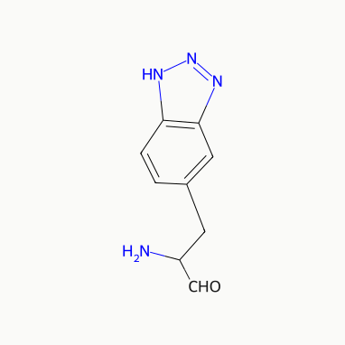 NC(C=O)Cc1ccc2[nH]nnc2c1